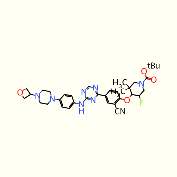 CC(C)(C)OC(=O)N1CC(F)C(Oc2ccc(-c3ncnc(Nc4ccc(N5CCN(C6COC6)CC5)cc4)n3)cc2C#N)C(C)(C)C1